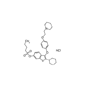 CCCCS(=O)(=O)Oc1ccc2c(Oc3ccc(OCCN4CCCCC4)cc3)c(C3CCCCC3)sc2c1.Cl